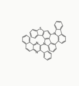 c1ccc(-c2nc3ccc4ccccc4c3nc2-n2c3cccc4c5cccc6c7ccccc7n(c7cc8sc9ccccc9c8c2c7c43)c56)cc1